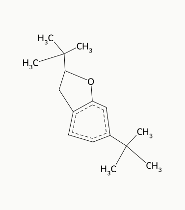 CC(C)(C)c1ccc2c(c1)OC(C(C)(C)C)C2